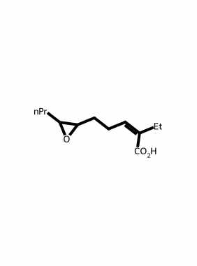 CCCC1OC1CCC=C(CC)C(=O)O